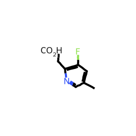 Cc1cnc(CC(=O)O)c(F)c1